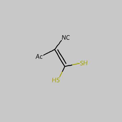 [C-]#[N+]C(C(C)=O)=C(S)S